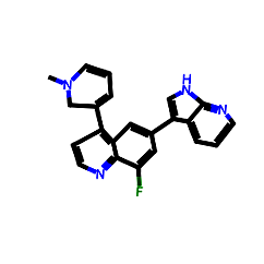 CN1C=CC=C(c2ccnc3c(F)cc(-c4c[nH]c5ncccc45)cc23)C1